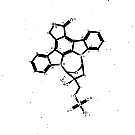 C[C@]12OC(C[C@]1(O)COS(N)(=O)=O)n1c3ccccc3c3c4c(c5c6ccccc6n2c5c31)CNC4=O